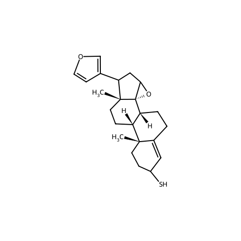 C[C@]12CCC(S)C=C1CC[C@@H]1[C@H]2CC[C@]2(C)C(c3ccoc3)CC3O[C@]312